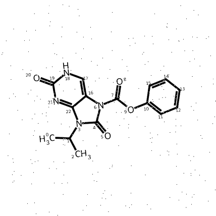 CC(C)n1c(=O)n(C(=O)Oc2ccccc2)c2c[nH]c(=O)nc21